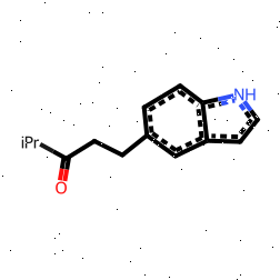 CC(C)C(=O)CCc1ccc2[nH]ccc2c1